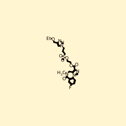 CCOCc1cn(CCCS(=O)(=O)OCCOC(=O)c2ncn3c2CN(C)C(=O)c2cc(F)ccc2-3)nn1